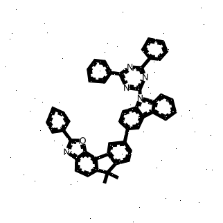 CC1(C)c2ccc(-c3ccc4c(c3)c3ccccc3n4-c3nc(-c4ccccc4)nc(-c4ccccc4)n3)cc2-c2c1ccc1nc(-c3ccccc3)oc21